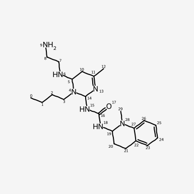 CCCCN1C(NCCN)CC(C)=NC1NC(=O)NC1CCc2ccccc2N1C